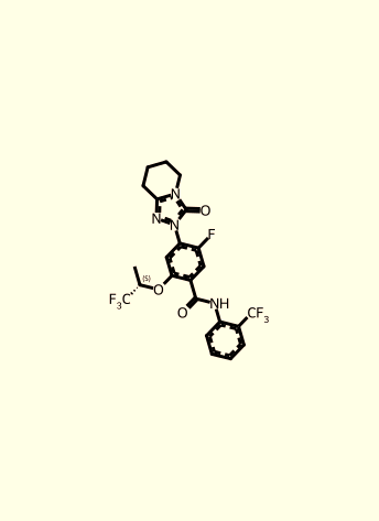 C[C@H](Oc1cc(-n2nc3n(c2=O)CCCC3)c(F)cc1C(=O)Nc1ccccc1C(F)(F)F)C(F)(F)F